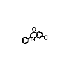 O=C1CC(c2ccccc2)=Nc2cc(Cl)ccc21